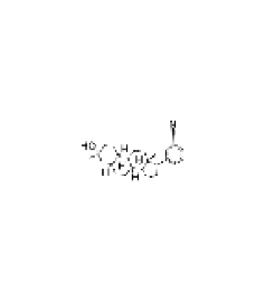 C[C@@]1(O)CC[C@H]2[C@H](CC[C@@H]3[C@@H]2CC[C@]2(C)C(c4cccc(C#N)c4)=CC[C@@H]32)C1